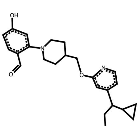 CCC(c1ccnc(OCC2CCN(c3cc(O)ccc3C=O)CC2)c1)C1CC1